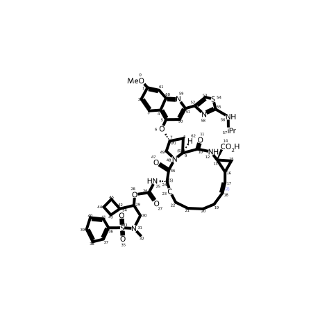 COc1ccc2c(O[C@@H]3C[C@H]4C(=O)N[C@]5(C(=O)O)CC5/C=C\CCCCC[C@H](NC(=O)OC(CN(C)S(=O)(=O)c5ccccc5)C5CCC5)C(=O)N4C3)cc(-c3csc(NC(C)C)n3)nc2c1